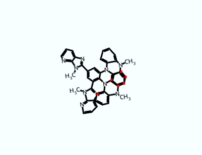 CN1c2ccccc2N(c2cc(-c3nc4cccnc4n3C)cc(-c3nc4cccnc4n3C)c2N2c3ccccc3N(C)c3ccccc32)c2ccccc21